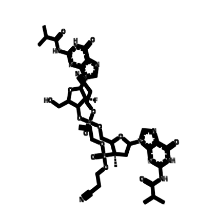 C=CCOP(=O)(OCCC#N)[C@]1(C)CC(n2cnc3c(=O)[nH]c(NC(=O)C(C)C)nc32)OC1COP(=O)(OCCC#N)OC1C(CO)OC(n2cnc3c(=O)[nH]c(NC(=O)C(C)C)nc32)[C@@H]1F